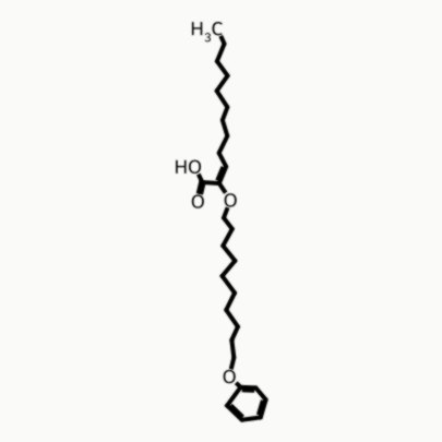 CCCCCCCCCC=C(OCCCCCCCCCCOc1ccccc1)C(=O)O